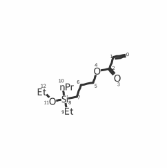 C=CC(=O)OCCC[Si](CC)(CCC)OCC